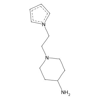 NC1CCN(CCn2cccc2)CC1